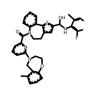 C/C=C(C)\C(NC(O)c1cc2c(s1)-c1ccccc1N(C(=O)c1cccc(N3CCOc4cccc(C)c4C3)n1)CC2)=C(/C)F